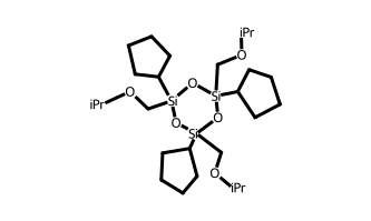 CC(C)OC[Si]1(C2CCCC2)O[Si](COC(C)C)(C2CCCC2)O[Si](COC(C)C)(C2CCCC2)O1